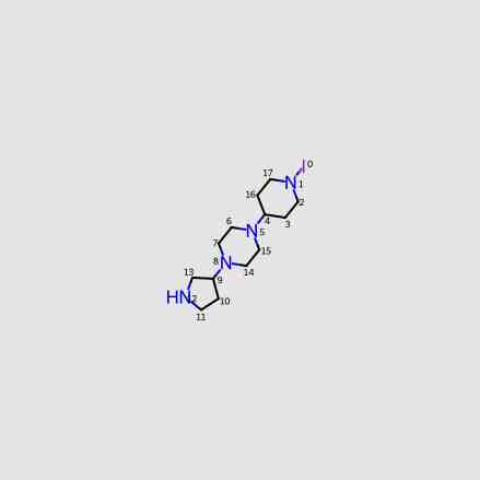 IN1CCC(N2CCN(C3CCNC3)CC2)CC1